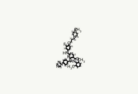 Cc1cccc(C)c1NC(=O)c1cnc(Nc2ccc(OCCCN3CCN(C)CC3)c(F)c2)nc1Oc1ccc(-n2cncn2)cc1